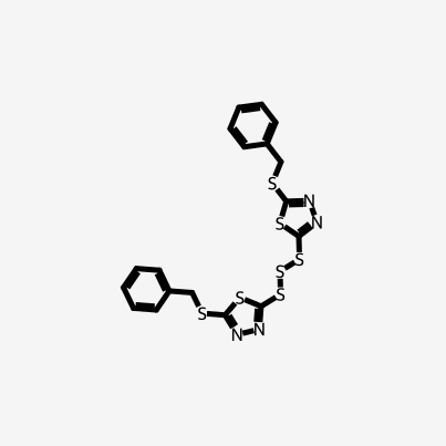 c1ccc(CSc2nnc(SSSc3nnc(SCc4ccccc4)s3)s2)cc1